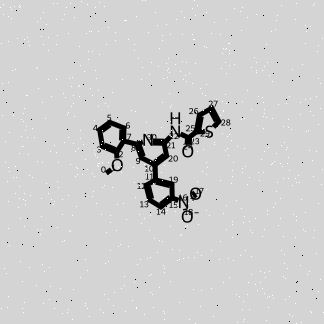 COc1ccccc1-c1cc(-c2cccc([N+](=O)[O-])c2)cc(NC(=O)c2cccs2)n1